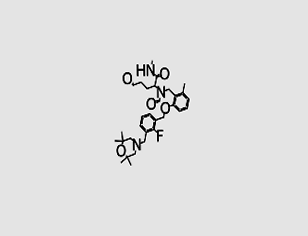 CNC(=O)C(CCC=O)N(C=O)Cc1c(C)cccc1OCc1cccc(CN2CC(C)(C)OC(C)(C)C2)c1F